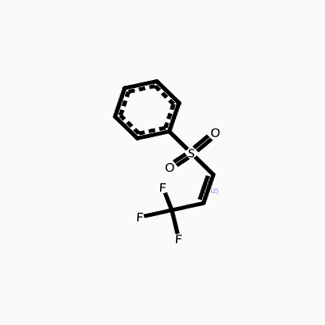 O=S(=O)(/C=C\C(F)(F)F)c1ccccc1